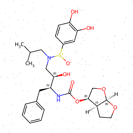 CC(C)CN(C[C@@H](O)[C@H](Cc1ccccc1)NC(=O)O[C@H]1CO[C@H]2OCC[C@H]21)[S+]([O-])c1ccc(O)c(O)c1